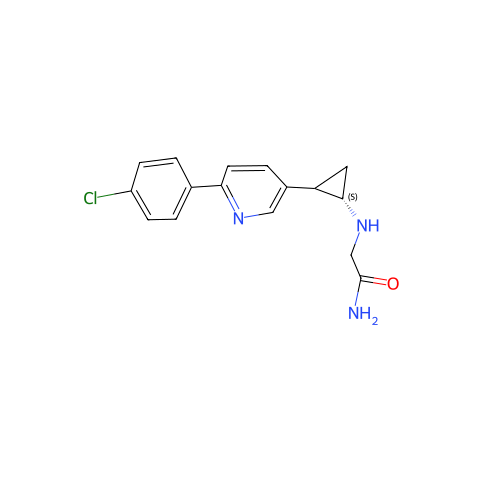 NC(=O)CN[C@H]1CC1c1ccc(-c2ccc(Cl)cc2)nc1